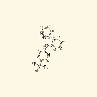 FC(F)(F)c1ccc(Oc2c[c]ccc2-c2cccnn2)nc1